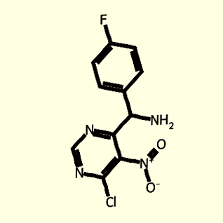 NC(c1ccc(F)cc1)c1ncnc(Cl)c1[N+](=O)[O-]